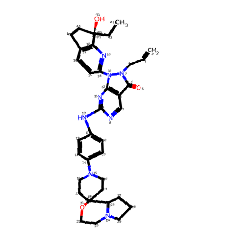 C=CCn1c(=O)c2cnc(Nc3ccc(N4CCC5(CC4)OCCN4CCCC45)cc3)nc2n1-c1ccc2c(n1)[C@@](O)(CC)CC2